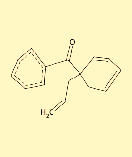 C=CCC1(C(=O)c2ccccc2)C=CC=CC1